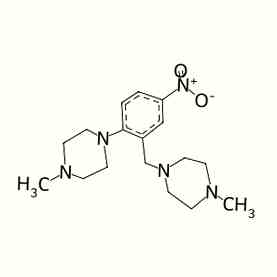 CN1CCN(Cc2cc([N+](=O)[O-])ccc2N2CCN(C)CC2)CC1